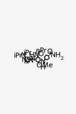 CCCC(=O)Nc1cc(Nc2ccc(C(N)=O)cc2)c(OC)cc1/N=N/S1=[N+](C)N=C(N(C(C)C)C(C)C)C1